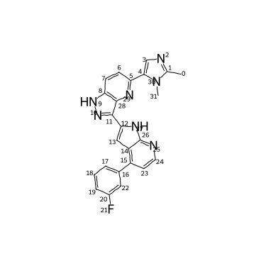 Cc1ncc(-c2ccc3[nH]nc(-c4cc5c(-c6cccc(F)c6)ccnc5[nH]4)c3n2)n1C